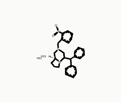 Cl.Cl.O=[N+]([O-])c1ccccc1CN1CC(C(c2ccccc2)c2ccccc2)N2CCC[C@H]2C1